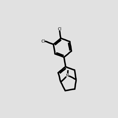 CN1C2C=C(c3ccc(Cl)c(Cl)c3)CC1CC2